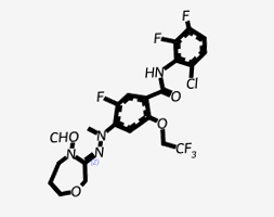 CN(/N=C1/COCCCN1C=O)c1cc(OCC(F)(F)F)c(C(=O)Nc2c(Cl)ccc(F)c2F)cc1F